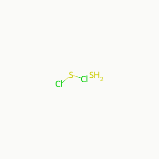 ClSCl.S